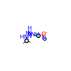 Cc1cc(C)cc(Nc2n[nH]c(NCc3ccc([S+]([O-])N4CCCC4)cc3)n2)c1